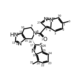 Cc1ccc2c(C(=O)N3CCc4[nH]cnc4[C@H]3c3nc4c(C)cccc4s3)cnn2c1